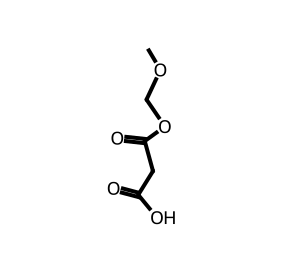 COCOC(=O)CC(=O)O